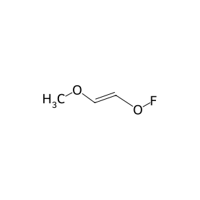 COC=COF